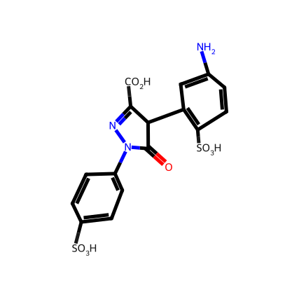 Nc1ccc(S(=O)(=O)O)c(C2C(=O)N(c3ccc(S(=O)(=O)O)cc3)N=C2C(=O)O)c1